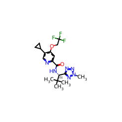 Cn1nnc([C@@H](NC(=O)c2cc(OCC(F)(F)F)c(C3CC3)cn2)C(C)(C)C)n1